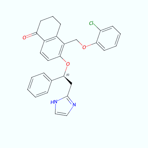 O=C1CCCc2c1ccc(O[C@@H](Cc1ncc[nH]1)c1ccccc1)c2COc1ccccc1Cl